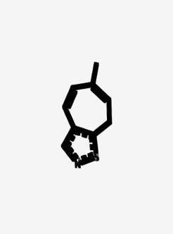 CC1=CCc2sncc2C=C1